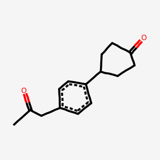 CC(=O)Cc1ccc(C2CCC(=O)CC2)cc1